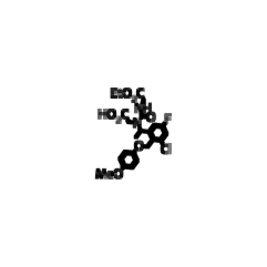 CCOC(=O)CNC(=O)N(CC(=O)O)C(C)c1cc(F)cc(Cl)c1COc1ccc(OC)cc1